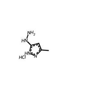 Cc1cc(NN)[nH]n1.Cl